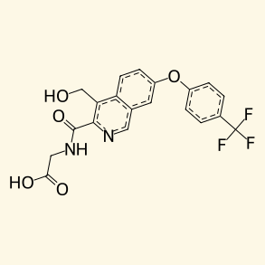 O=C(O)CNC(=O)c1ncc2cc(Oc3ccc(C(F)(F)F)cc3)ccc2c1CO